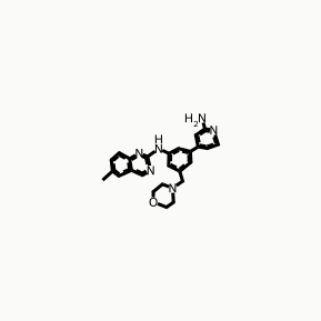 Cc1ccc2nc(Nc3cc(CN4CCOCC4)cc(-c4ccnc(N)c4)c3)ncc2c1